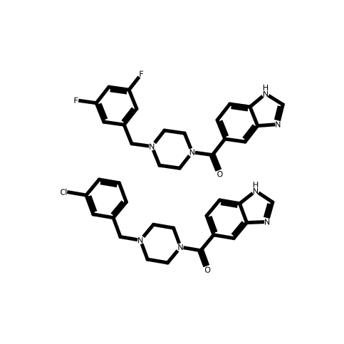 O=C(c1ccc2[nH]cnc2c1)N1CCN(Cc2cc(F)cc(F)c2)CC1.O=C(c1ccc2[nH]cnc2c1)N1CCN(Cc2cccc(Cl)c2)CC1